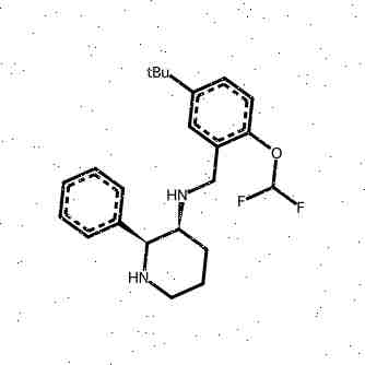 CC(C)(C)c1ccc(OC(F)F)c(CN[C@H]2CCCN[C@H]2c2ccccc2)c1